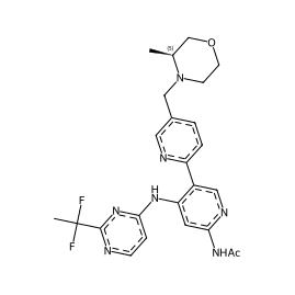 CC(=O)Nc1cc(Nc2ccnc(C(C)(F)F)n2)c(-c2ccc(CN3CCOC[C@@H]3C)cn2)cn1